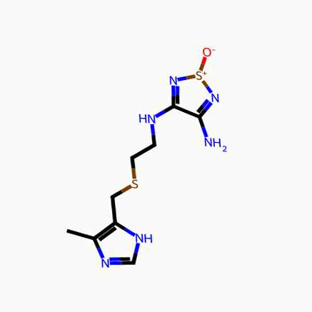 Cc1nc[nH]c1CSCCNc1n[s+]([O-])nc1N